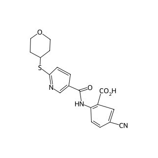 N#Cc1ccc(NC(=O)c2ccc(SC3CCOCC3)nc2)c(C(=O)O)c1